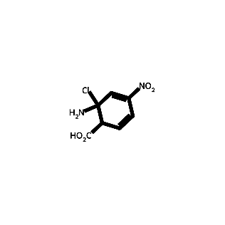 NC1(Cl)C=C([N+](=O)[O-])C=CC1C(=O)O